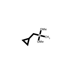 CO[Si](C)(CC1CC1)OC